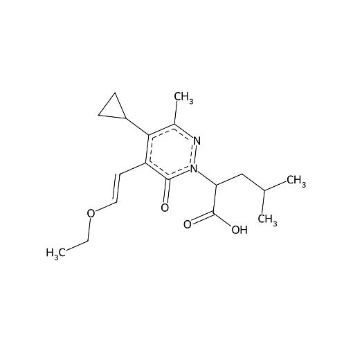 CCO/C=C/c1c(C2CC2)c(C)nn(C(CC(C)C)C(=O)O)c1=O